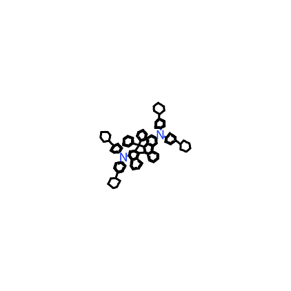 c1ccc(C2(c3ccccc3)c3cc(N(c4ccc(C5CCCCC5)cc4)c4ccc(C5CCCCC5)cc4)c4ccccc4c3-c3c2c2ccc(N(c4ccc(C5CCCCC5)cc4)c4ccc(C5CCCCC5)cc4)cc2c2ccccc32)cc1